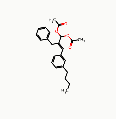 CCCCc1cccc(/C=C(\Cc2ccccc2)C(OC(C)=O)OC(C)=O)c1